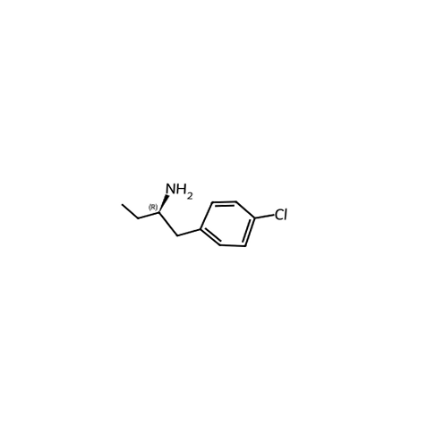 CC[C@@H](N)Cc1ccc(Cl)cc1